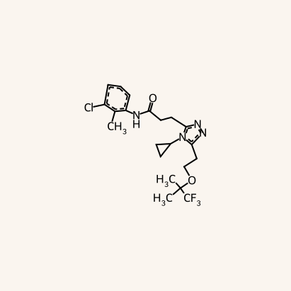 Cc1c(Cl)cccc1NC(=O)CCc1nnc(CCOC(C)(C)C(F)(F)F)n1C1CC1